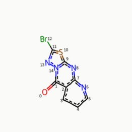 O=c1c2cccnc2nc2sc(Br)nn12